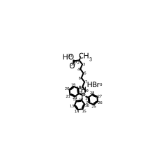 Br.CC(CCCCCCC[PH](c1ccccc1)(c1ccccc1)c1ccccc1)C(=O)O